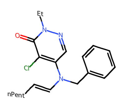 CCCCCC=CN(Cc1ccccc1)c1cnn(CC)c(=O)c1Cl